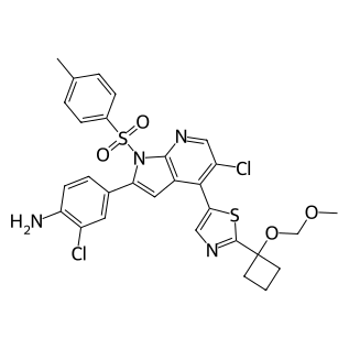 COCOC1(c2ncc(-c3c(Cl)cnc4c3cc(-c3ccc(N)c(Cl)c3)n4S(=O)(=O)c3ccc(C)cc3)s2)CCC1